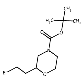 CC(C)(C)OC(=O)N1CCOC(CCBr)C1